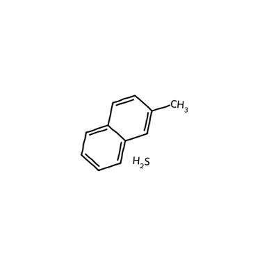 Cc1ccc2ccccc2c1.S